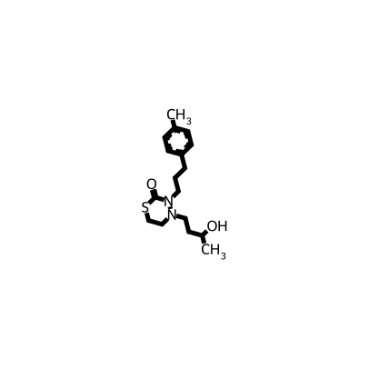 Cc1ccc(CCCN2C(=O)SCCN2CCC(C)O)cc1